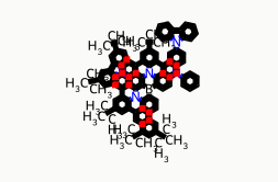 CC(C)(C)c1cc(-c2ccc3c(c2)N(c2c(-c4ccccc4)cc(C(C)(C)C)cc2-c2ccccc2)c2cc(-n4c5ccc(C(C)(C)C)cc5c5cc(C(C)(C)C)ccc54)cc4c2B3c2ccc(N(c3ccccc3)c3ccc(-n5c6ccccc6c6ccccc65)cc3)cc2N4c2c(-c3ccccc3)cc(C(C)(C)C)cc2-c2ccccc2)cc(C(C)(C)C)c1